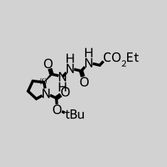 CCOC(=O)CNC(=O)NNC(=O)[C@@H]1CCCN1C(=O)OC(C)(C)C